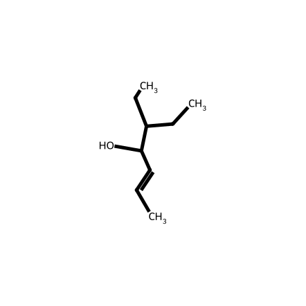 CC=CC(O)C(CC)CC